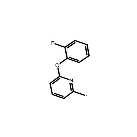 [CH2]c1cccc(Oc2ccccc2F)n1